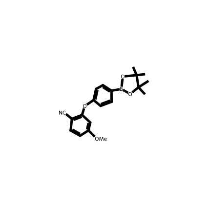 COc1ccc(C#N)c(Oc2ccc(B3OC(C)(C)C(C)(C)O3)cc2)c1